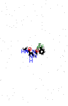 CC(C)NC(=O)c1c[nH]c2ncc(Oc3ccccc3C(F)(F)F)nc12